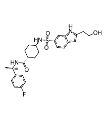 C[C@@H](NC(=O)[C@H]1CC[C@H](NS(=O)(=O)c2ccc3cc(CCO)[nH]c3c2)CC1)c1ccc(F)cc1